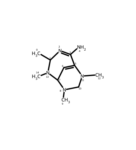 CC1N=C(N)C2=CC(N(C)CN2C)N1C